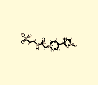 Cn1cnc(-c2cc[n+](CC(=O)NCCS(=O)(=O)[O-])nc2)n1